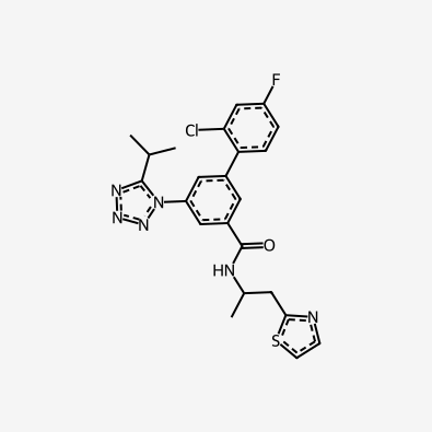 CC(Cc1nccs1)NC(=O)c1cc(-c2ccc(F)cc2Cl)cc(-n2nnnc2C(C)C)c1